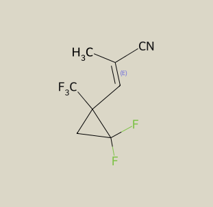 C/C(C#N)=C\C1(C(F)(F)F)CC1(F)F